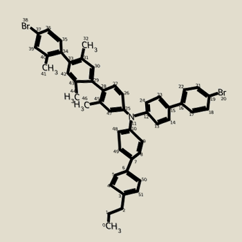 CCCc1ccc(-c2ccc(N(c3ccc(-c4ccc(Br)cc4)cc3)c3ccc(-c4cc(C)c(-c5ccc(Br)cc5C)cc4C)c(C)c3)cc2)cc1